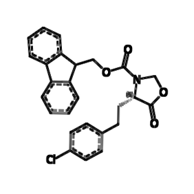 O=C1OCN(C(=O)OCC2c3ccccc3-c3ccccc32)[C@H]1CCc1ccc(Cl)cc1